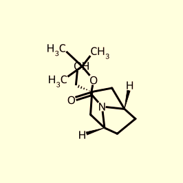 CC(C)(C)OC(=O)N1[C@@H]2CC[C@H]1C[C@@H](CO)C2